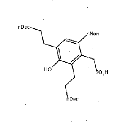 CCCCCCCCCCCCc1cc(CCCCCCCCC)c(CS(=O)(=O)O)c(CCCCCCCCCCCC)c1O